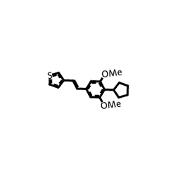 COc1cc(/C=C/c2ccsc2)cc(OC)c1C1CCCC1